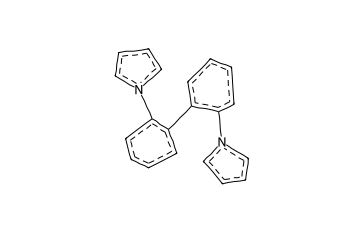 c1ccc(-n2cccc2)c(-c2ccccc2-n2cccc2)c1